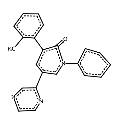 N#Cc1ccccc1-c1cc(-c2cnccn2)cn(-c2ccccc2)c1=O